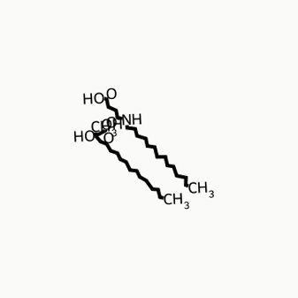 CCCCCCCCCCCCCCC(C)(O)C(=O)O.CCCCCCCCCCCCCCNC(=O)CCC(=O)O